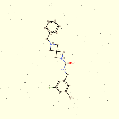 O=C(NCc1cc(Cl)cc(C(F)(F)F)c1)N1CC2(CN(Cc3ccccc3)C2)C1